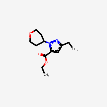 CCOC(=O)c1cc(CC)nn1C1CCOCC1